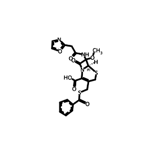 COC1(NC(=O)Cc2ncco2)C(=O)N2C(C(=O)O)=C(CSC(=O)c3ccccc3)CS[C@@H]21